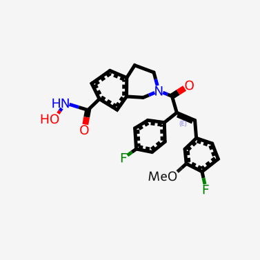 COc1cc(/C=C(/C(=O)N2CCc3ccc(C(=O)NO)cc3C2)c2ccc(F)cc2)ccc1F